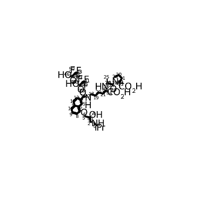 CC(C)NC[C@@H](O)COc1cccc2ccc(C(=O)NCCCC[C@H](N[C@@H](C)C(=O)N3CCC[C@@H]3C(=O)O)C(=O)O)cc12.O=C(O)C(F)(F)F.O=C(O)C(F)(F)F